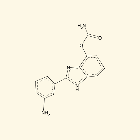 NC(=O)Oc1cccc2[nH]c(-c3cccc(N)c3)nc12